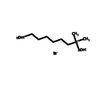 CCCCCCCCCCCCCCCC[N+](C)(C)CCCCCCCCCC.[Br-]